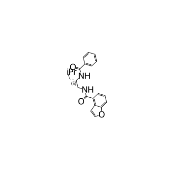 CC(C)C[C@@H](CNC(=O)c1cccc2occc12)NC(=O)c1ccccc1